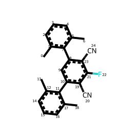 Cc1cccc(C)c1-c1cc(-c2c(C)cccc2C)c(C#N)c(F)c1C#N